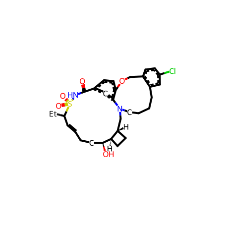 CCC1/C=C/CC[C@H](O)[C@@H]2CC[C@H]2CN2CCCCc3cc(Cl)ccc3COc3ccc(cc32)C(=O)NS1(=O)=O